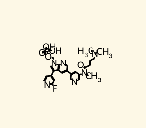 CN(C)CC=CC(=O)N(C)c1cncc(-c2cnc3c(c2)c(-c2ccnc(F)c2)cn3COP(=O)(O)O)c1